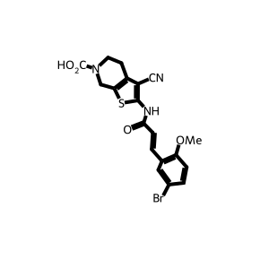 COc1ccc(Br)cc1C=CC(=O)Nc1sc2c(c1C#N)CCN(C(=O)O)C2